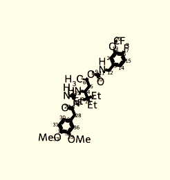 CCC(CC)(CC)C(C[C@@H](C)OC(=O)NCc1ccc(F)c(OC(F)(F)F)c1)NC(N)=NC(=O)Cc1ccc(OC)c(OC)c1